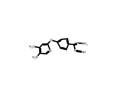 Cc1cc(Oc2ccc(/C(N=N)=N/N)cc2)ncc1N